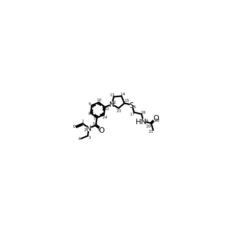 C=CN(CC)C(=O)c1cccc(N2CCC(SCCNC(C)=O)C2)c1